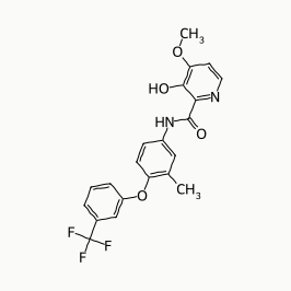 COc1ccnc(C(=O)Nc2ccc(Oc3cccc(C(F)(F)F)c3)c(C)c2)c1O